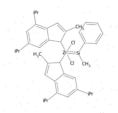 CC1=Cc2c(C(C)C)cc(C(C)C)cc2[CH]1[Zr]([Cl])([Cl])([CH]1C(C)=Cc2c(C(C)C)cc(C(C)C)cc21)=[Si](C)c1ccccc1